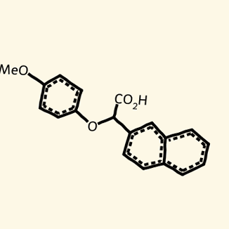 COc1ccc(OC(C(=O)O)c2ccc3ccccc3c2)cc1